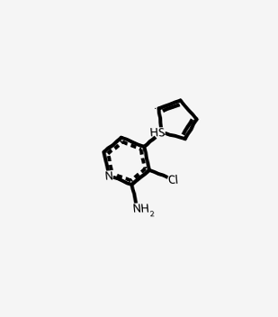 Nc1nccc([SH]2[C]=CC=C2)c1Cl